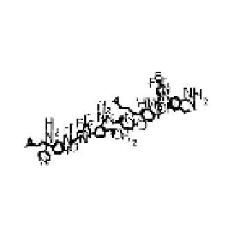 C=Cc1ccc(-n2nc(C(=O)Nc3cc(C(N)(CCC4CC4)c4ccncc4)ccc3F)cc2C(F)(F)F)cc1/C(N)=N\Cc1ccc(=O)n(C(CCC2CC2)c2ccc(F)c(NC(O)c3cc(C(F)(F)F)nn3-c3ccc4ccnc(N)c4c3)c2)c1